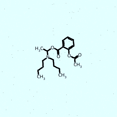 CCCCN(CCCC)C(C)OC(=O)c1ccccc1OC(C)=O